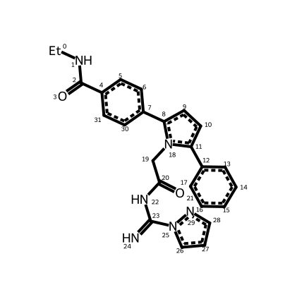 CCNC(=O)c1ccc(-c2ccc(-c3ccccc3)n2CC(=O)NC(=N)n2cccn2)cc1